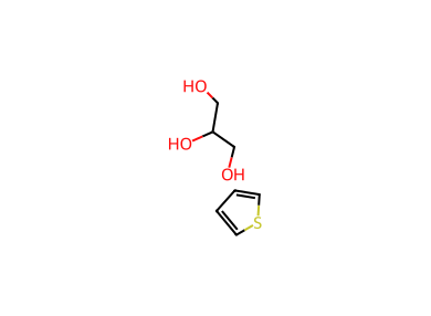 OCC(O)CO.c1ccsc1